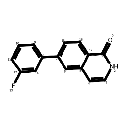 O=c1[nH]ccc2cc(-c3cccc(F)c3)ccc12